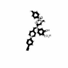 C#Cc1ccc(N2CCC(CN(C(=O)CN(C)S(=O)(=O)c3ccc(C)cc3)c3ccc(C(=O)O)c(O)c3)CC2)cc1